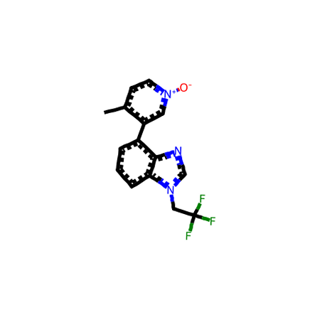 Cc1cc[n+]([O-])cc1-c1cccc2c1ncn2CC(F)(F)F